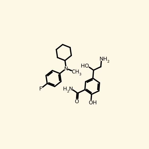 CN(c1ccc(F)cc1)C1CCCCC1.NCC(O)c1ccc(O)c(C(N)=O)c1